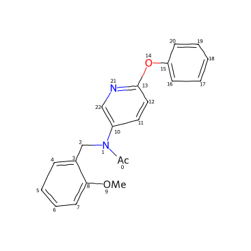 CC(=O)N(Cc1ccccc1O[11CH3])c1ccc(Oc2ccccc2)nc1